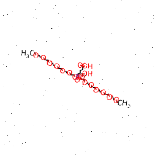 CCOCCOCCOCCOCCOCCOCCOP(=O)(CC(CCC(=O)O)C(=O)O)OCCOCCOCCOCCOCCOCCOCC